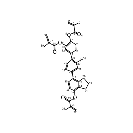 C=C(C)C(=O)Oc1ccc(-c2ccc(-c3ccc(OC(=O)C(=C)C)c4c3CCC4)cc2F)cc1OC(=O)C(=C)C